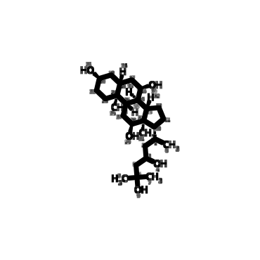 CC(CC(O)CC(C)(C)O)[C@H]1CC[C@H]2[C@@H]3[C@H](O)C[C@H]4C[C@H](O)CC[C@]4(C)[C@H]3C[C@H](O)[C@]12C